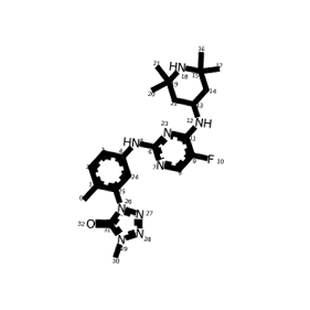 Cc1ccc(Nc2ncc(F)c(NC3CC(C)(C)NC(C)(C)C3)n2)cc1-n1nnn(C)c1=O